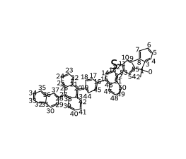 CC1(C)c2ccccc2-c2cc3sc4cc(-c5ccc(-c6c7ccccc7c(-c7ccc8ccccc8c7)c7ccccc67)cc5)c5ccccc5c4c3cc21